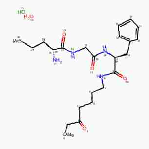 COCC(=O)CCCCNC(=O)[C@H](Cc1ccccc1)NC(=O)CNC(=O)[C@H](N)CCSC.Cl.O